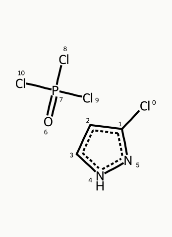 Clc1cc[nH]n1.O=P(Cl)(Cl)Cl